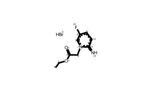 Br.CCOC(=O)Cn1cc(F)ccc1=N